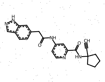 C#CC1(NC(=O)c2cc(NC(=O)Cc3ccc4cn[nH]c4c3)ccn2)CCCC1